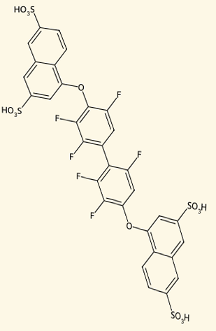 O=S(=O)(O)c1ccc2c(Oc3cc(F)c(-c4cc(F)c(Oc5cc(S(=O)(=O)O)cc6cc(S(=O)(=O)O)ccc56)c(F)c4F)c(F)c3F)cc(S(=O)(=O)O)cc2c1